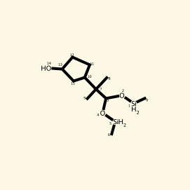 C[SiH2]OC(O[SiH2]C)C(C)(C)C1CCC(O)C1